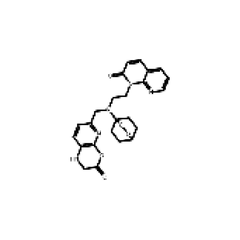 O=C1CNc2ccc(CN(CCn3c(=O)ccc4cccnc43)C34CCC(CC3)OC4)nc2O1